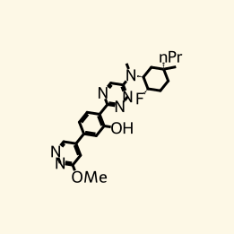 CCC[C@]1(C)CC[C@H](F)[C@H](N(C)c2cnc(-c3ccc(-c4cnnc(OC)c4)cc3O)nn2)C1